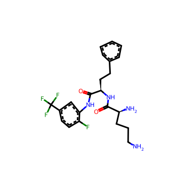 NCCC[C@H](N)C(=O)N[C@H](CCc1ccccc1)C(=O)Nc1cc(C(F)(F)F)ccc1F